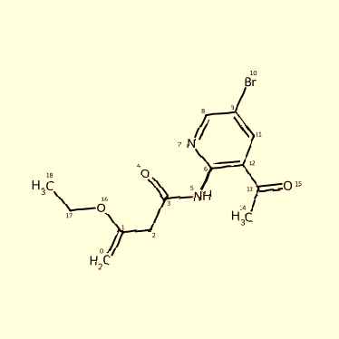 C=C(CC(=O)Nc1ncc(Br)cc1C(C)=O)OCC